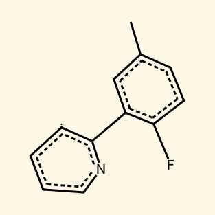 Cc1ccc(F)c(-c2[c]cccn2)c1